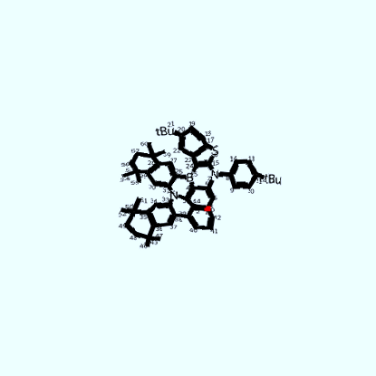 Cc1cc2c3c(c1)N(c1ccc(C(C)(C)C)cc1)c1sc4ccc(C(C)(C)C)cc4c1B3c1cc3c(cc1N2c1cc2c(cc1-c1ccccc1)C(C)(C)CCC2(C)C)C(C)(C)CCC3(C)C